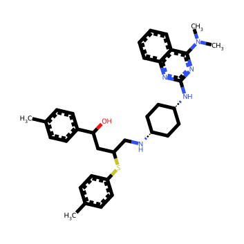 Cc1ccc(SC(CN[C@H]2CC[C@@H](Nc3nc(N(C)C)c4ccccc4n3)CC2)CC(O)c2ccc(C)cc2)cc1